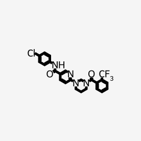 O=C(Nc1ccc(Cl)cc1)c1ccc(N2CCCN(C(=O)c3ccccc3C(F)(F)F)C2)nc1